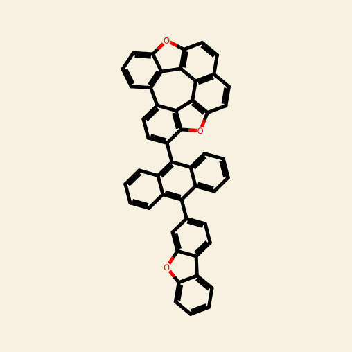 c1ccc2c(c1)oc1cc(-c3c4ccccc4c(-c4ccc5c6c4oc4ccc7ccc8oc9cccc-5c9c8c7c46)c4ccccc34)ccc12